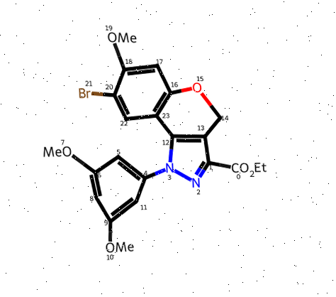 CCOC(=O)c1nn(-c2cc(OC)cc(OC)c2)c2c1COc1cc(OC)c(Br)cc1-2